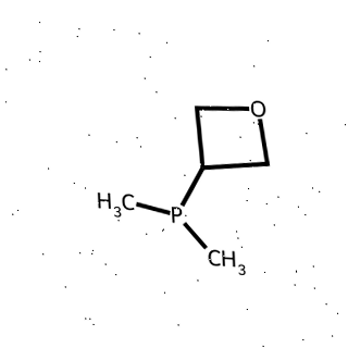 CP(C)C1COC1